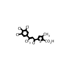 Cc1cc(C(=O)C=C(c2cc(Cl)c(Cl)c(Cl)c2)C(F)(F)F)sc1C(=O)O